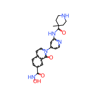 CC1(C(=O)Nc2cc(-n3ccc4ccc(C(=O)NO)cc4c3=O)ccn2)CCNCC1